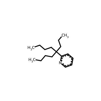 CCCCC(CCC)(CCCC)c1ccccn1